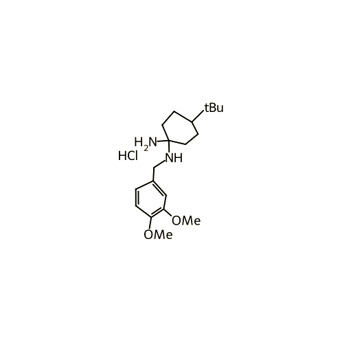 COc1ccc(CNC2(N)CCC(C(C)(C)C)CC2)cc1OC.Cl